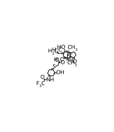 C=C[C@]1(C)C[C@@H](OC(=O)CS[C@@H]2CC[C@@H](NC(=O)C(F)(F)F)C[C@H]2O)[C@]2(C)C(C)CC[C@]3(CCC(=O)[C@H]32)[C@@H](C)[C@@H]1O